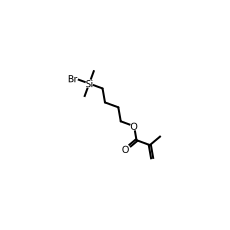 C=C(C)C(=O)OCCCC[Si](C)(C)Br